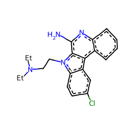 CCN(CC)CCn1c2ccc(Cl)cc2c2c3ccccc3nc(N)c21